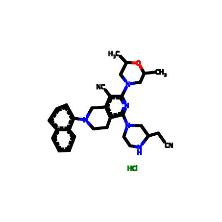 CC1CN(c2nc(N3CCNC(CC#N)C3)c3c(c2C#N)CN(c2cccc4ccccc24)CC3)CC(C)O1.Cl